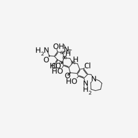 CN(C)[C@@H]1C(O)=C(C(N)=O)C(=O)[C@@]2(O)C(O)=C3C(=O)c4c(O)c(N)c(CN5CCCCCC5)c(Cl)c4C[C@H]3C[C@@H]12